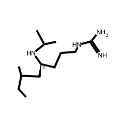 CCC(C)C[C@H](CCCNC(=N)N)NC(C)C